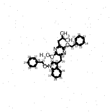 COc1nc(CC(C)C)c(OCc2ccccc2)nc1Cc1cn(OCc2ccccc2)c2ccccc12